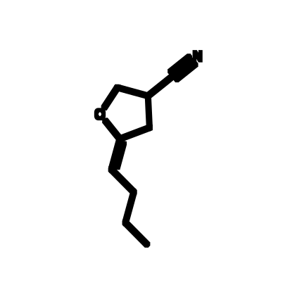 CCC/C=C1\CC(C#N)CO1